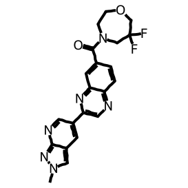 Cn1cc2cc(-c3cnc4ccc(C(=O)N5CCOCC(F)(F)C5)cc4n3)cnc2n1